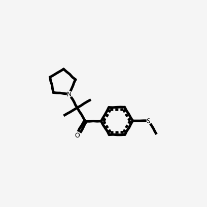 CSc1ccc(C(=O)C(C)(C)N2CCCC2)cc1